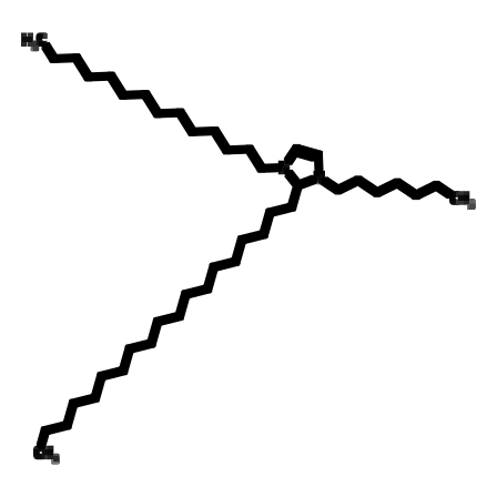 CCCCCCCCCCCCCCCCCCCC1N(CCCCCCC)C=CN1CCCCCCCCCCCCCC